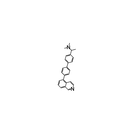 CC(c1ccc(-c2ccc(-c3cccc4cnccc34)cc2)cc1)N(C)C